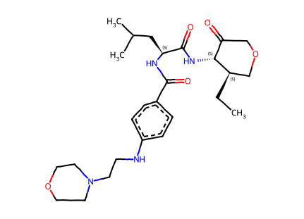 CC[C@@H]1COCC(=O)[C@H]1NC(=O)[C@H](CC(C)C)NC(=O)c1ccc(NCCN2CCOCC2)cc1